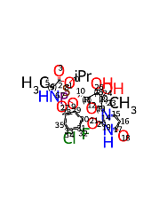 CC(C)OC(=O)[C@H](C)NP(=S)(OC[C@H]1O[C@@H](n2ccc(=O)[nH]c2=O)[C@](C)(O)[C@@H]1O)Oc1ccc(F)c(Cl)c1